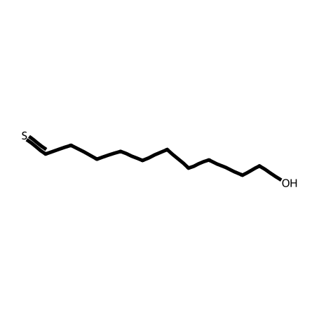 OCCCCCCCCCC=S